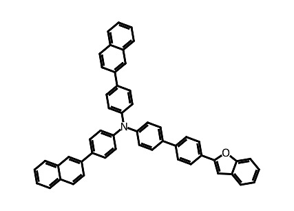 c1ccc2cc(-c3ccc(N(c4ccc(-c5ccc(-c6cc7ccccc7o6)cc5)cc4)c4ccc(-c5ccc6ccccc6c5)cc4)cc3)ccc2c1